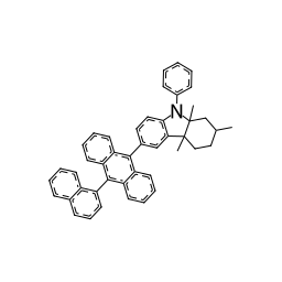 CC1CCC2(C)c3cc(-c4c5ccccc5c(-c5cccc6ccccc56)c5ccccc45)ccc3N(c3ccccc3)C2(C)C1